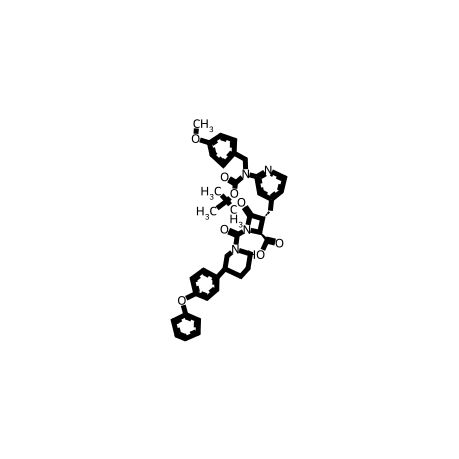 COc1ccc(CN(C(=O)OC(C)(C)C)c2cc(C[C@H]3C(=O)N(C(=O)N4CCCC(c5ccc(Oc6ccccc6)cc5)C4)[C@@H]3C(=O)O)ccn2)cc1